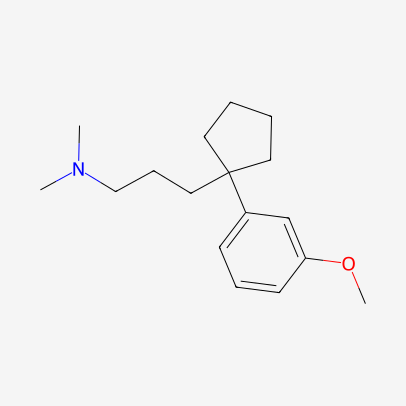 COc1cccc(C2(CCCN(C)C)CCCC2)c1